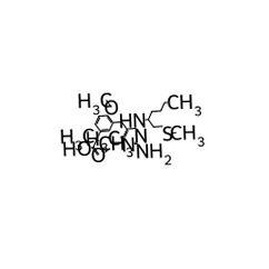 CCCCC(CCSC)Nc1nc(N)nc(C)c1Cc1cc(C(C)(C)C(=O)O)ccc1OC